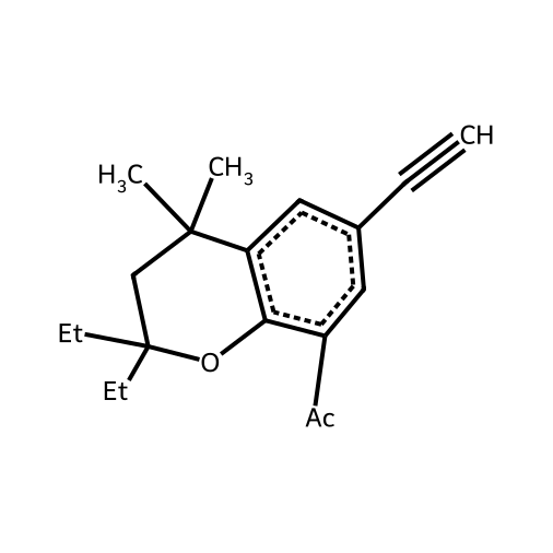 C#Cc1cc(C(C)=O)c2c(c1)C(C)(C)CC(CC)(CC)O2